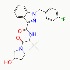 CC(C)(C)C(NC(=O)c1nn(Cc2ccc(F)cc2)c2ccccc12)C(=O)N1CCC(O)C1